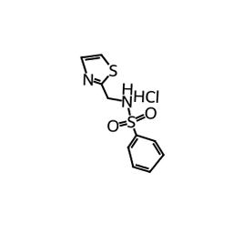 Cl.O=S(=O)(NCc1nccs1)c1ccccc1